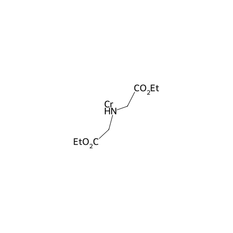 CCOC(=O)CNCC(=O)OCC.[Cr]